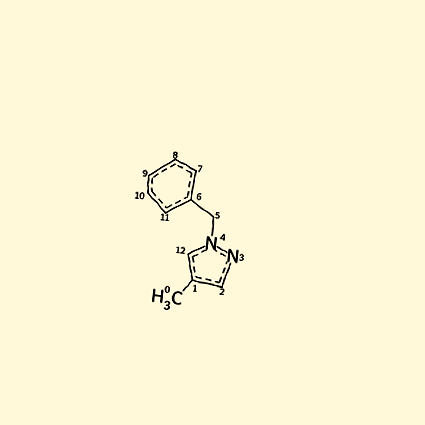 Cc1cnn(Cc2ccccc2)c1